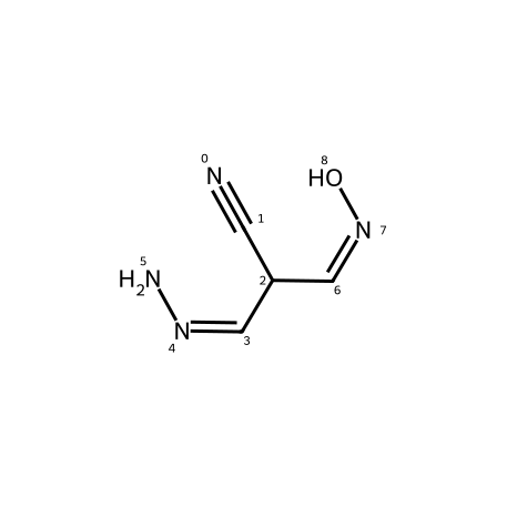 N#CC(/C=N\N)/C=N\O